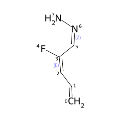 C=C/C=C(F)\C=N/N